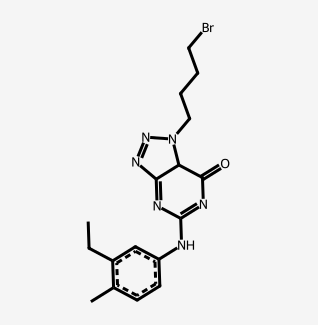 CCc1cc(NC2=NC(=O)C3C(=N2)N=NN3CCCCBr)ccc1C